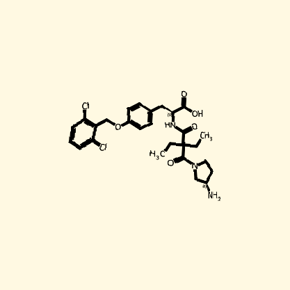 CCC(CC)(C(=O)N[C@@H](Cc1ccc(OCc2c(Cl)cccc2Cl)cc1)C(=O)O)C(=O)N1CC[C@@H](N)C1